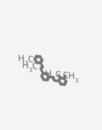 Cc1cccc(C=Cc2cccc(C=Cc3cccc(C)c3C)c2)c1C